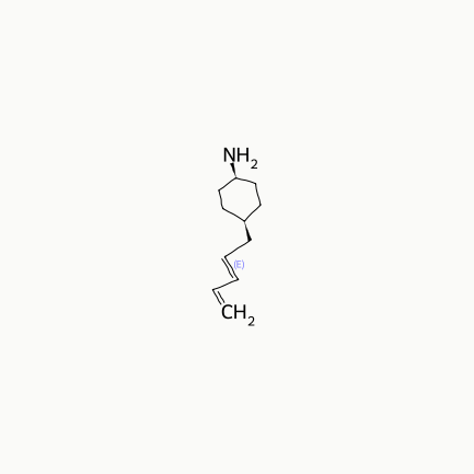 C=C/C=C/C[C@H]1CC[C@@H](N)CC1